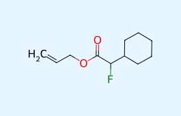 C=CCOC(=O)C(F)C1CCCCC1